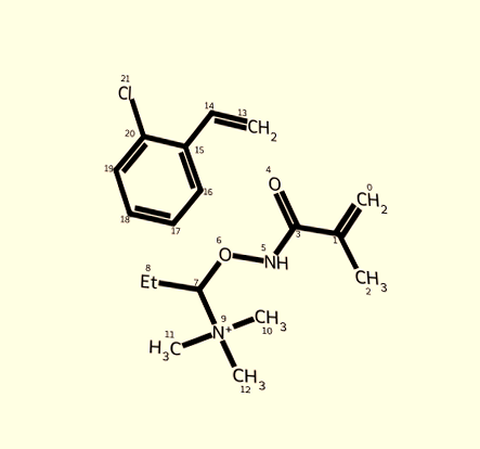 C=C(C)C(=O)NOC(CC)[N+](C)(C)C.C=Cc1ccccc1Cl